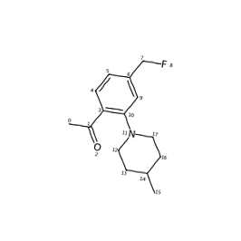 CC(=O)c1ccc(CF)cc1N1CCC(C)CC1